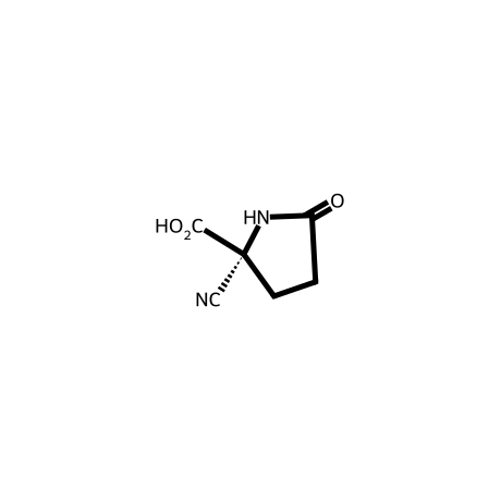 N#C[C@@]1(C(=O)O)CCC(=O)N1